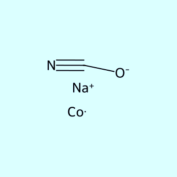 N#C[O-].[Co].[Na+]